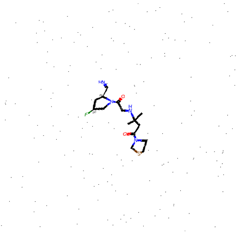 CC(C)(CC(=O)N1CCSC1)NCC(=O)N1C[C@@H](F)C[C@H]1C=N